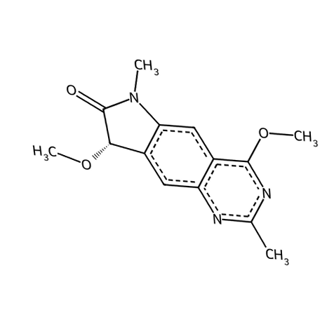 COc1nc(C)nc2cc3c(cc12)N(C)C(=O)[C@H]3OC